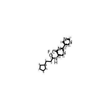 O=C(CCC1CCCC1)Nc1cnc(-c2cncnc2)nc1C(F)(F)F